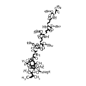 C/C=C(/C)C(=O)O[C@H]1C(C)=C2[C@H]([C@@H]1OC(=O)CCCCCCC)[C@@](C)(OC(C)=O)C[C@H](OC(=O)CNC(=O)C[C@H](NC(=O)OC(C)(C)C)C(=O)N[C@@H](CCC(=O)N[C@@H](CCC(=O)N[C@@H](CCC(=O)N[C@@H](CCC(=O)OC(C)(C)C)C(=O)OC(C)(C)C)C(=O)OC(C)(C)C)C(=O)OC(C)(C)C)C(=O)OC(C)(C)C)[C@@]1(O)[C@H]2OC(=O)[C@@]1(C)O